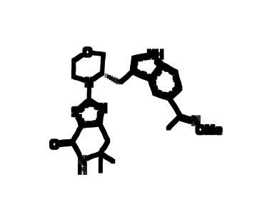 CO/N=C(\C)c1ccc2[nH]cc(C[C@H]3COCCN3c3nc4c(s3)C(=O)NC(C)(C)C4)c2c1